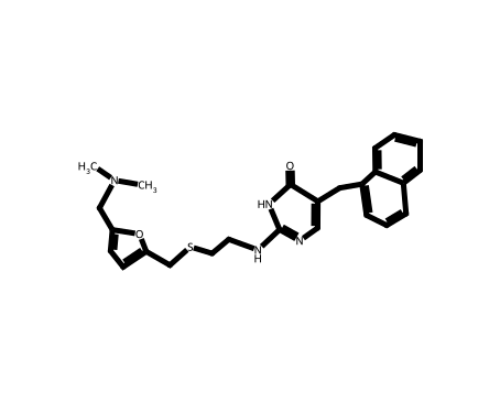 CN(C)Cc1ccc(CSCCNc2ncc(Cc3cccc4ccccc34)c(=O)[nH]2)o1